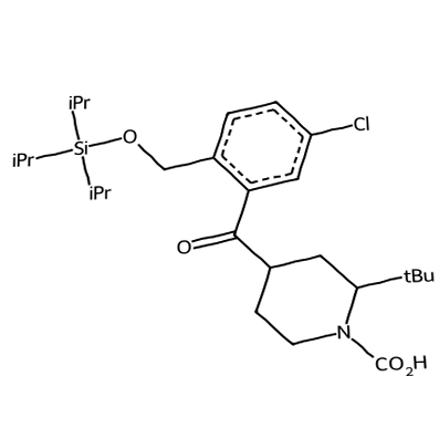 CC(C)[Si](OCc1ccc(Cl)cc1C(=O)C1CCN(C(=O)O)C(C(C)(C)C)C1)(C(C)C)C(C)C